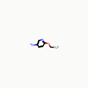 CCOC(=O)COc1ccc(N)cn1